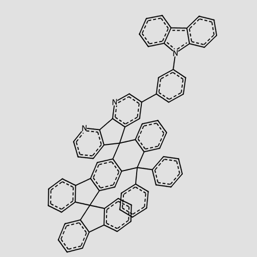 c1ccc(C2(c3ccccc3)c3ccccc3C3(c4cc5c(cc42)C2(c4ccccc4-c4ccccc42)c2ccccc2-5)c2cccnc2-c2ncc(-c4cccc(-n5c6ccccc6c6ccccc65)c4)cc23)cc1